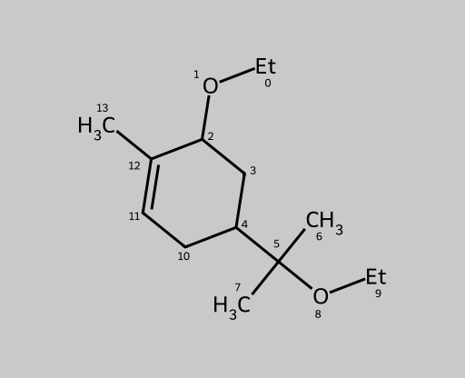 CCOC1CC(C(C)(C)OCC)CC=C1C